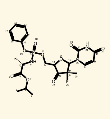 CC(C)OC(=O)[C@H](C)NP(=O)(OCC1OC(n2ccc(=O)[nH]c2=O)[C@](C)(F)C1=O)Oc1ccccc1